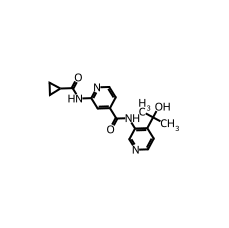 CC(C)(O)c1ccncc1NC(=O)c1ccnc(NC(=O)C2CC2)c1